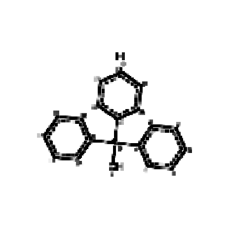 I.OS(c1ccccc1)(c1ccccc1)c1ccccc1